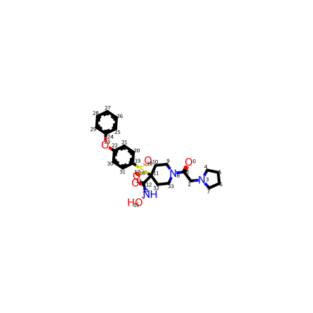 O=C(CN1CCCC1)N1CCC(C(=O)NO)(S(=O)(=O)c2ccc(Oc3ccccc3)cc2)CC1